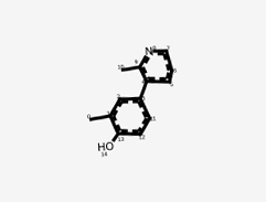 Cc1cc(-c2cccnc2C)ccc1O